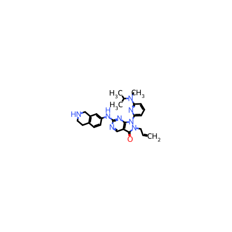 C=CCn1c(=O)c2cnc(Nc3ccc4c(c3)CNCC4)nc2n1-c1cccc(N(C)C(C)C)n1